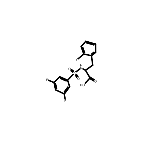 O=C(O)C(Cc1ccccc1F)NS(=O)(=O)c1cc(F)cc(F)c1